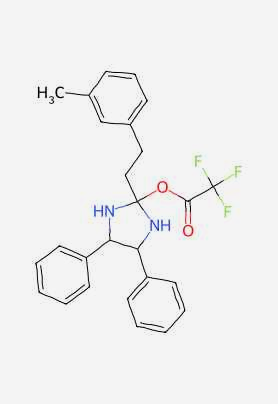 Cc1cccc(CCC2(OC(=O)C(F)(F)F)NC(c3ccccc3)C(c3ccccc3)N2)c1